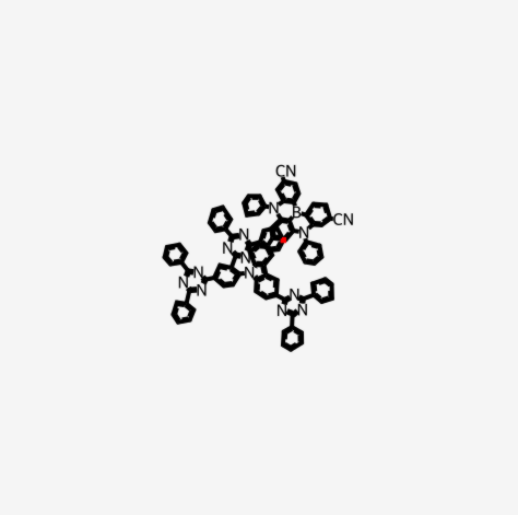 N#Cc1ccc2c(c1)N(c1ccccc1)c1cc(-c3ccc4c(c3)c3cc(-c5nc(-c6ccccc6)nc(-c6ccccc6)n5)ccc3n4-c3ccc(-c4nc(-c5ccccc5)nc(-c5ccccc5)n4)cc3-c3nc(-c4ccccc4)nc(-c4ccccc4)n3)cc3c1B2c1ccc(C#N)cc1N3c1ccccc1